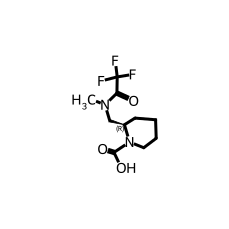 CN(C[C@H]1CCCCN1C(=O)O)C(=O)C(F)(F)F